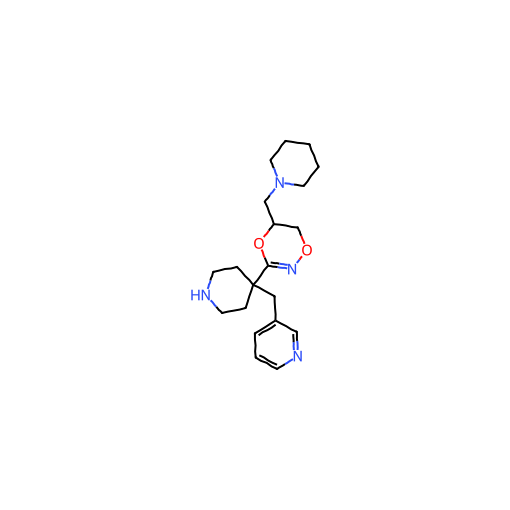 c1cncc(CC2(C3=NOCC(CN4CCCCC4)O3)CCNCC2)c1